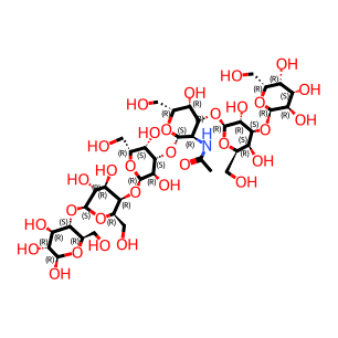 CC(=O)N[C@H]1[C@H](O[C@H]2[C@@H](O)[C@@H](CO)O[C@H](O[C@@H]3[C@H](O)[C@@H](O)[C@H](O[C@H]4[C@H](O)[C@@H](O)[C@H](O)O[C@@H]4CO)O[C@@H]3CO)[C@@H]2O)O[C@H](CO)[C@H](O)[C@@H]1O[C@@H]1O[C@H](CO)[C@H](O)[C@H](O[C@H]2O[C@H](CO)[C@H](O)[C@H](O)[C@H]2O)[C@H]1O